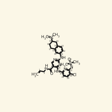 C=CCNC(=O)c1cnc(Nc2ccc3c(c2)CCC(N(C)C)C3)nc1Nc1ccc(Cl)c(N=S(C)(C)=O)n1